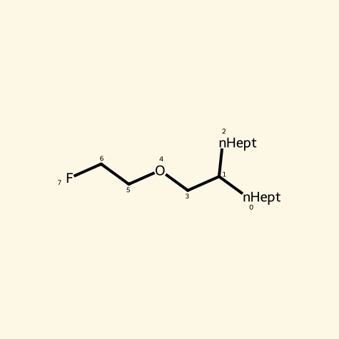 CCCCCCCC(CCCCCCC)COCCF